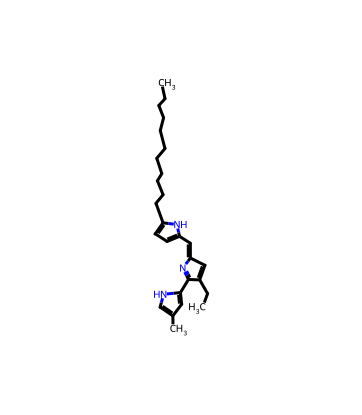 CCCCCCCCCCCc1ccc(C=C2C=C(CC)C(c3cc(C)c[nH]3)=N2)[nH]1